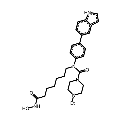 CCN1CCN(C(=O)N(CCCCCCC(=O)NO)c2ccc(-c3ccc4[nH]ccc4c3)cc2)CC1